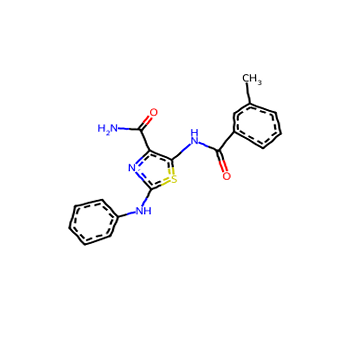 Cc1cccc(C(=O)Nc2sc(Nc3ccccc3)nc2C(N)=O)c1